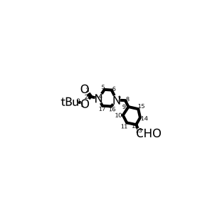 CC(C)(C)OC(=O)N1CCN(CC2CCC(C=O)CC2)CC1